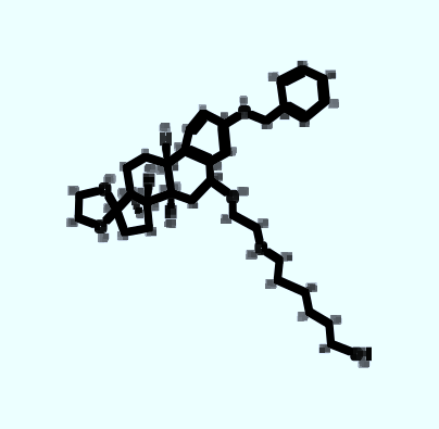 C[C@]12CC[C@@H]3c4ccc(OCc5ccccc5)cc4C(OCCOCCCCCCO)C[C@H]3[C@@H]1CCC21OCCO1